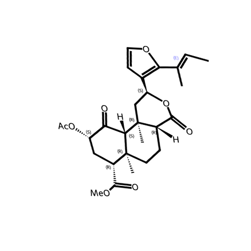 C/C=C(\C)c1occc1[C@@H]1C[C@]2(C)[C@H]3C(=O)[C@@H](OC(C)=O)C[C@@H](C(=O)OC)[C@]3(C)CC[C@H]2C(=O)O1